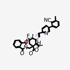 Cc1cccc(-c2ccc(/C=C/[C@@H]3[C@@H]4[C@@H](C)OC(=O)C4(CN4C(=O)c5ccccc5C4=O)CC(F)(F)[C@H]3C)nc2)c1C#N